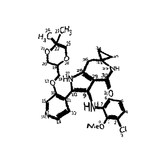 COc1c(Cl)cccc1Nc1c(-c2ccncc2OCC2COC(C)(C)CO2)[nH]c2c1C(=O)NC1(CC1)C2